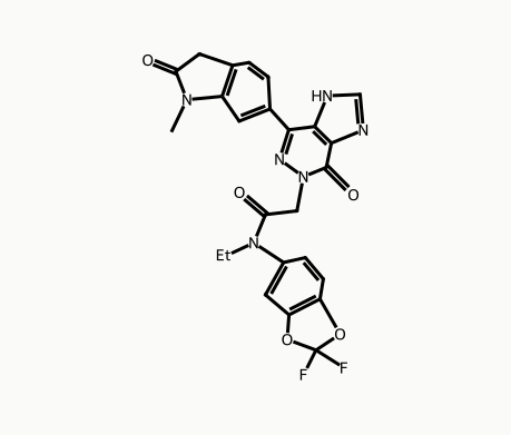 CCN(C(=O)Cn1nc(-c2ccc3c(c2)N(C)C(=O)C3)c2[nH]cnc2c1=O)c1ccc2c(c1)OC(F)(F)O2